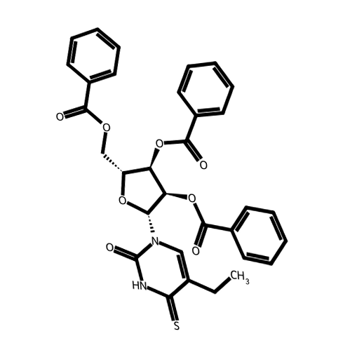 CCc1cn([C@@H]2O[C@H](COC(=O)c3ccccc3)[C@@H](OC(=O)c3ccccc3)[C@H]2OC(=O)c2ccccc2)c(=O)[nH]c1=S